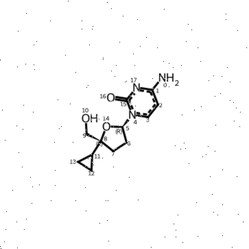 Nc1ccn([C@H]2CC[C@](CO)(C3CC3)O2)c(=O)n1